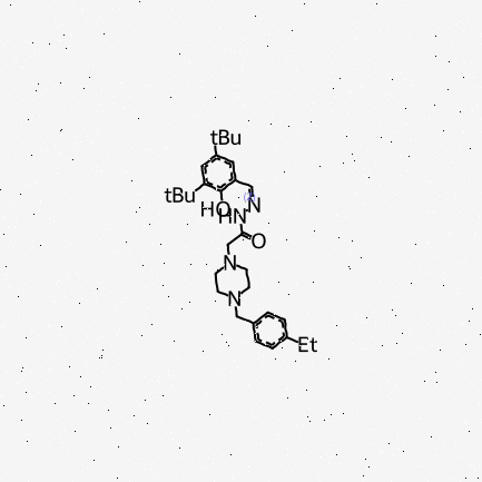 CCc1ccc(CN2CCN(CC(=O)N/N=C\c3cc(C(C)(C)C)cc(C(C)(C)C)c3O)CC2)cc1